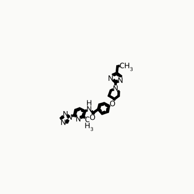 CCc1cnc(N2CCC(Oc3ccc(C(=O)Nc4ccc(-n5cncn5)nc4C)cc3)CC2)nc1